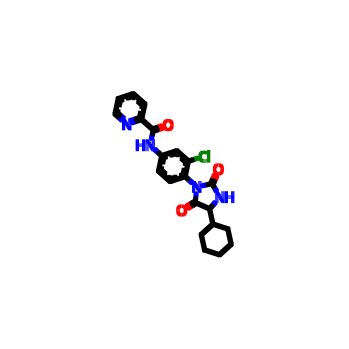 O=C(Nc1ccc(N2C(=O)NC(C3CCCCC3)C2=O)c(Cl)c1)c1ccccn1